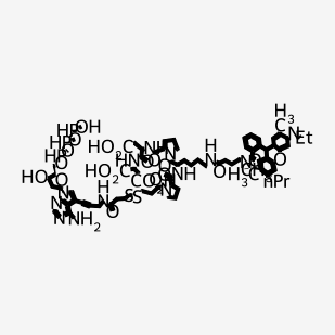 CCCc1cc2c(cc1C)C(c1ccccc1C(=O)N(C)CCCC(=O)NCCCCC(NC(=O)C1CCCN1C(=O)CCSSCCC(=O)NCC#Cc1cn([C@H]3CC(O)[C@@H](COPOPOPO)O3)c3ncnc(N)c13)C(=O)N1CCCC1C(=O)NC(CC(=O)O)C(=O)NC(CC(=O)O)C(=O)O)C1C=C(C)/C(=N/CC)C=C1O2